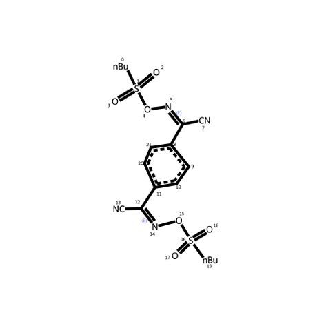 CCCCS(=O)(=O)O/N=C(/C#N)c1ccc(/C(C#N)=N\OS(=O)(=O)CCCC)cc1